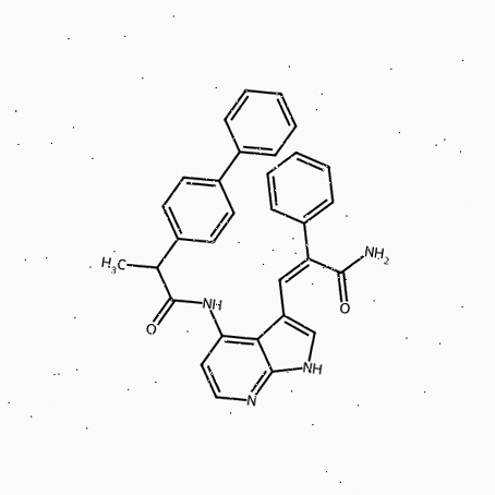 CC(C(=O)Nc1ccnc2[nH]cc(C=C(C(N)=O)c3ccccc3)c12)c1ccc(-c2ccccc2)cc1